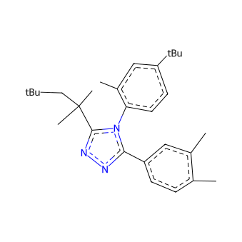 Cc1ccc(-c2nnc(C(C)(C)CC(C)(C)C)n2-c2ccc(C(C)(C)C)cc2C)cc1C